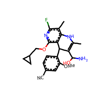 COc1cc(C#N)ccc1C1C(C(N)O)=C(C)Nc2c(C)c(F)nc(OCC3CC3)c21